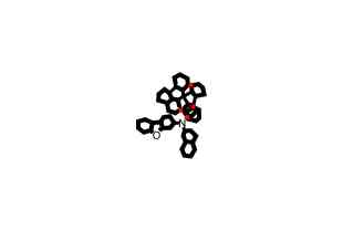 c1ccc(-c2ccc3cccc4c3c2C2(c3ccccc3-c3ccc(N(c5ccc6ccccc6c5)c5ccc6c(c5)oc5ccccc56)cc32)c2ccccc2-4)cc1